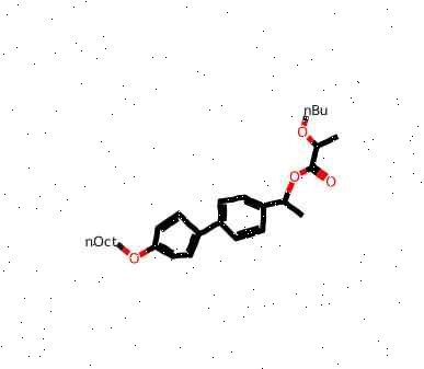 CCCCCCCCOc1ccc(-c2ccc(C(C)OC(=O)C(C)OCCCC)cc2)cc1